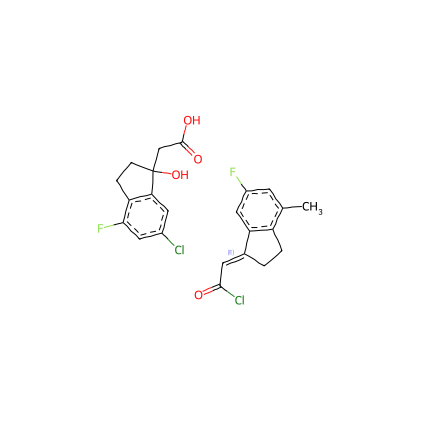 Cc1cc(F)cc2c1CC/C2=C\C(=O)Cl.O=C(O)CC1(O)CCc2c(F)cc(Cl)cc21